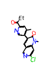 CCC(=O)c1cc(C)c(-c2cc3cnc(Cl)cc3n(C)c2=O)cn1